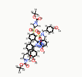 COc1ccc(CN(Cc2ccc(OC)cc2)S(=O)(=O)c2c(S(=O)(=O)C3CN(C(=O)OC(C)(C)C)C3)ccc(-c3ccc(C4CCN(C(=O)OC(C)(C)C)CC4)cc3)c2-c2nnnn2Cc2ccc(OC)cc2)cc1